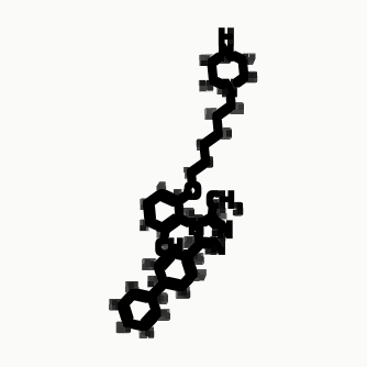 Cc1cccc(OCCCCCCN2CCNCC2)c1-n1c(C)nnc1-c1ccc(-c2ccccc2)cc1